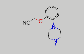 CN1CCN(c2ccccc2OCC#N)CC1